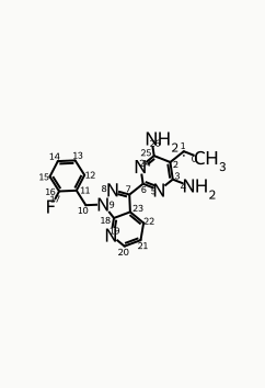 C[CH]c1c(N)nc(-c2nn(Cc3ccccc3F)c3ncccc23)nc1N